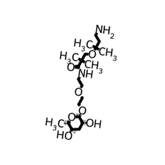 C[C@@H]1O[C@@H](OCCOCCNC(=O)C(C)(C)COC(C)(C)CCN)[C@H](O)C[C@H]1O